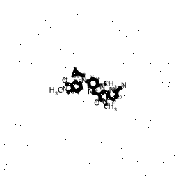 CN1Cc2ccc(N(CC3CC3)C3CCC(N(C)c4c(C#N)c(=O)n(C)c5ccc(C#N)nc45)CC3)cc2C1=O